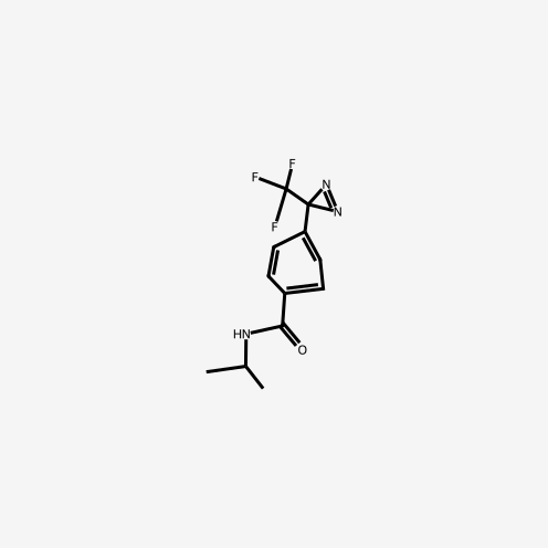 CC(C)NC(=O)c1ccc(C2(C(F)(F)F)N=N2)cc1